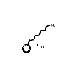 Cl.Cl.NCCCCCSSc1ccccn1